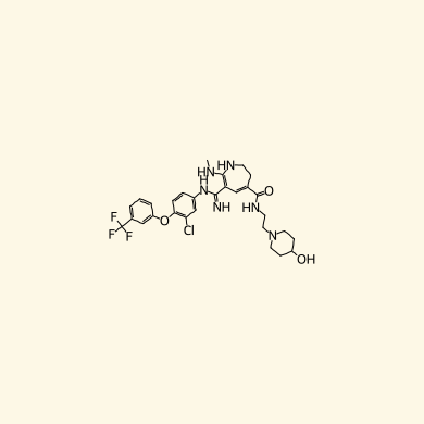 CNC1=C(C(=N)Nc2ccc(Oc3cccc(C(F)(F)F)c3)c(Cl)c2)C=C(C(=O)NCCN2CCC(O)CC2)CCN1